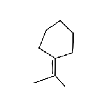 CC(C)=C1CCCCC1